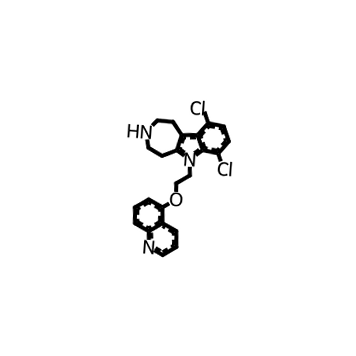 Clc1ccc(Cl)c2c1c1c(n2CCOc2cccc3ncccc23)CCNCC1